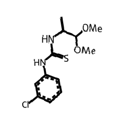 COC(OC)C(C)NC(=S)Nc1cccc(Cl)c1